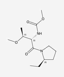 CC[C@@H]1CCCN1C(=O)[C@@H](NC(=O)OC)[C@H](C)OC